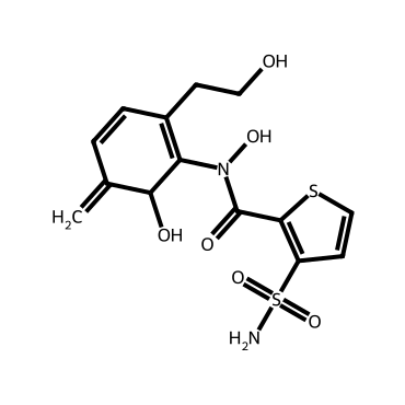 C=C1C=CC(CCO)=C(N(O)C(=O)c2sccc2S(N)(=O)=O)C1O